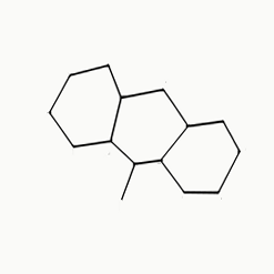 ClC1C2CCCCC2CC2CCCCC21